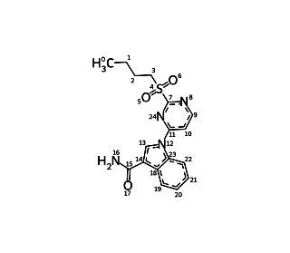 CCCCS(=O)(=O)c1nccc(-n2cc(C(N)=O)c3ccccc32)n1